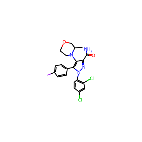 CC1COCCN1c1c(C(N)=O)nn(-c2ccc(Cl)cc2Cl)c1-c1ccc(I)cc1